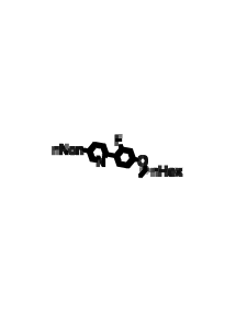 CCCCCCCCCc1ccc(-c2ccc(O[C@@H](C)CCCCCC)cc2F)nc1